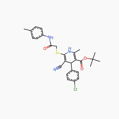 CC1=C(C(=O)OC(C)(C)C)C(c2ccc(Cl)cc2)C(C#N)=C(SCC(=O)Nc2ccc(C)cc2)N1